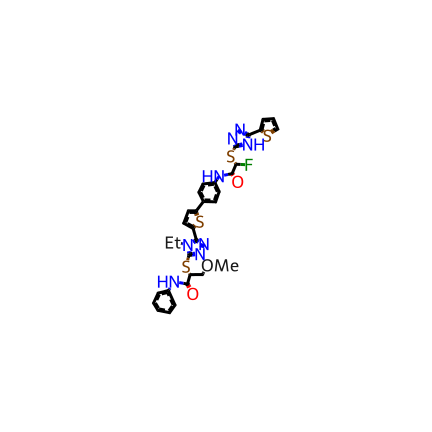 CCn1c(SC(COC)C(=O)Nc2ccccc2)nnc1-c1ccc(-c2ccc(NC(=O)C(F)Sc3nnc(-c4cccs4)[nH]3)cc2)s1